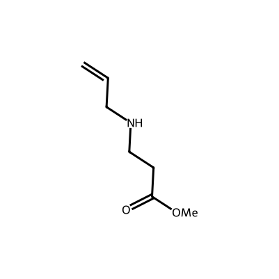 C=CCNCCC(=O)OC